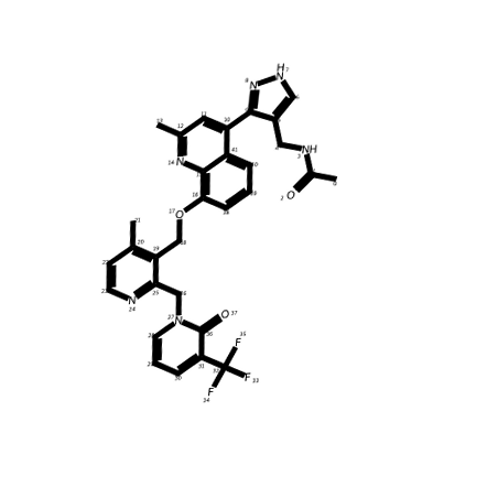 CC(=O)NCc1c[nH]nc1-c1cc(C)nc2c(OCc3c(C)ccnc3Cn3cccc(C(F)(F)F)c3=O)cccc12